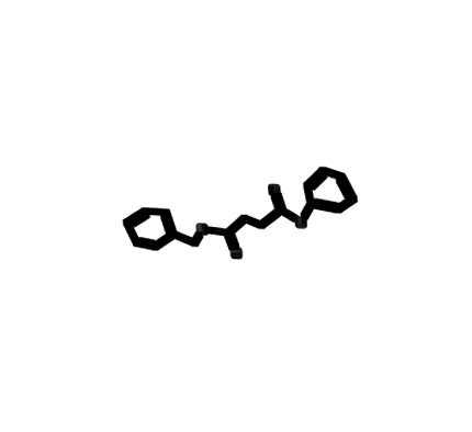 O=C(CCC(=O)Oc1ccccc1)OCc1ccccc1